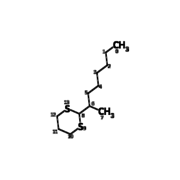 CCCCCCC(C)C1SCCCS1